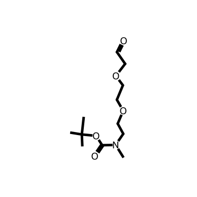 CN(CCOCCOCC=O)C(=O)OC(C)(C)C